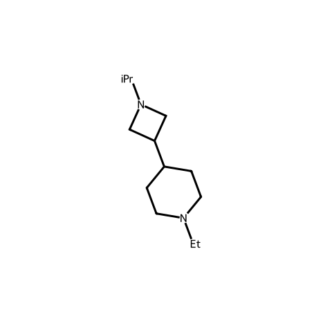 CCN1CCC(C2CN(C(C)C)C2)CC1